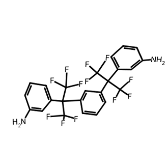 Nc1cccc(C(c2cccc(C(c3cccc(N)c3)(C(F)(F)F)C(F)(F)F)c2)(C(F)(F)F)C(F)(F)F)c1